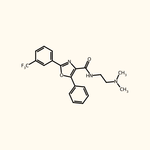 CN(C)CCNC(=O)c1nc(-c2cccc(C(F)(F)F)c2)oc1-c1ccccc1